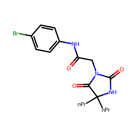 CCCC1(CCC)NC(=O)N(CC(=O)Nc2ccc(Br)cc2)C1=O